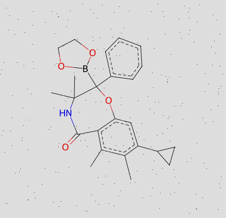 Cc1c(C2CC2)cc2c(c1C)C(=O)NC(C)(C)C(B1OCCO1)(c1ccccc1)O2